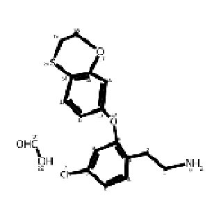 NCCc1ccc(Cl)cc1Oc1ccc2c(c1)OCCS2.O=CO